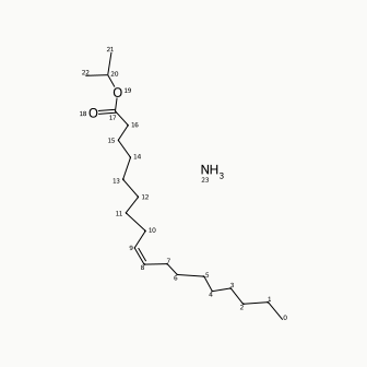 CCCCCCCC/C=C\CCCCCCCC(=O)OC(C)C.N